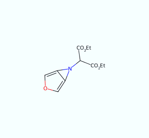 CCOC(=O)C(C(=O)OCC)N1c2cocc21